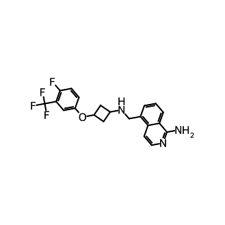 Nc1nccc2c(CNC3CC(Oc4ccc(F)c(C(F)(F)F)c4)C3)cccc12